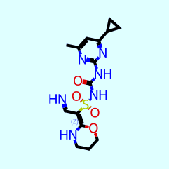 Cc1cc(C2CC2)nc(NC(=O)NS(=O)(=O)/C(C=N)=C2/NCCCO2)n1